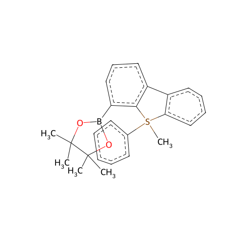 CC1(C)OB(c2cccc3c2S(C)(c2ccccc2)c2ccccc2-3)OC1(C)C